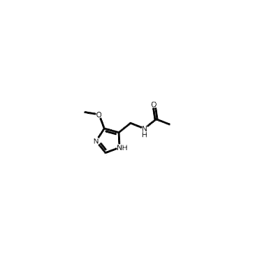 COc1nc[nH]c1CNC(C)=O